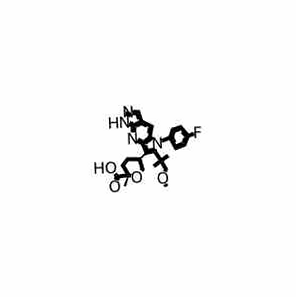 COCC(C)(C)c1c([C@@H]2CC[C@@](C)(C(=O)O)OC2)c2nc3[nH]ncc3cc2n1-c1ccc(F)cc1